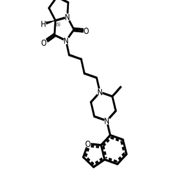 CC1CN(c2cccc3ccoc23)CCN1CCCCN1C(=O)[C@@H]2CCCN2C1=O